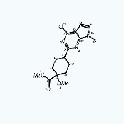 COC(=O)C1(OC)CCC(c2nc(Cl)c3ccn(C)c3n2)CC1